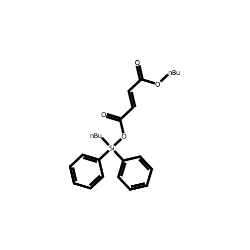 CCCCOC(=O)C=CC(=O)O[Si](CCCC)(c1ccccc1)c1ccccc1